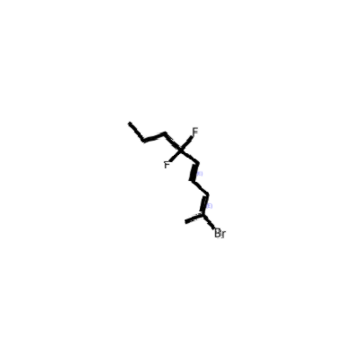 CCCC(F)(F)/C=C/C=C(\C)Br